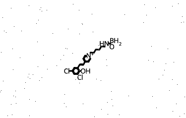 BC(=O)NCCCCCC[n+]1ccc(/C=C/c2cc(Cl)cc(Cl)c2O)cc1